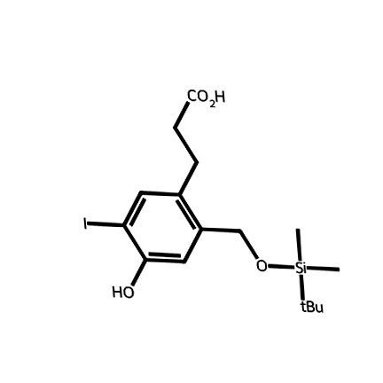 CC(C)(C)[Si](C)(C)OCc1cc(O)c(I)cc1CCC(=O)O